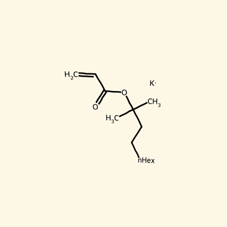 C=CC(=O)OC(C)(C)CCCCCCCC.[K]